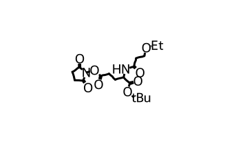 CCOCCC(=O)NC(CCC(=O)ON1C(=O)CCC1=O)C(=O)OC(C)(C)C